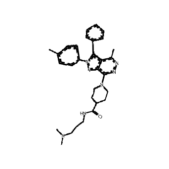 Cc1ccc(-n2nc3c(N4CCC(C(=O)NCCCN(C)C)CC4)nnc(C)c3c2-c2ccccc2)cc1